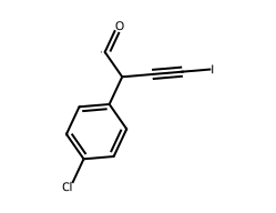 O=[C]C(C#CI)c1ccc(Cl)cc1